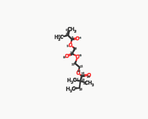 C=C(C)C(=O)OCC(=O)OCCOC(=O)C(C)(C)CC